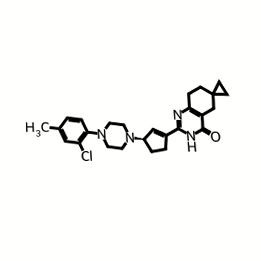 Cc1ccc(N2CCN([C@H]3C=C(c4nc5c(c(=O)[nH]4)CC4(CC5)CC4)CC3)CC2)c(Cl)c1